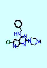 Clc1cc2c(NCc3ccccc3)nc(N3CCN(I)CC3)nc2cn1